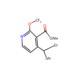 CCCC(CC)c1ccnc(OC(F)(F)F)c1C(=O)OC